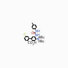 CCCCN(CCCC)c1ccc(-c2cc(F)ccc2C(=O)O)cc1NC(=O)Nc1ccc(C)cc1